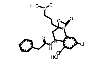 CN(C)CCCC12C[C@H](NC(=O)Cc3ccccc3)c3c(Cl)cc(Cl)cc3N1C(=O)O2.Cl